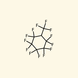 FC(F)(F)[C]1C(F)(F)C(F)(F)C(F)(F)C(F)(F)C1(F)F